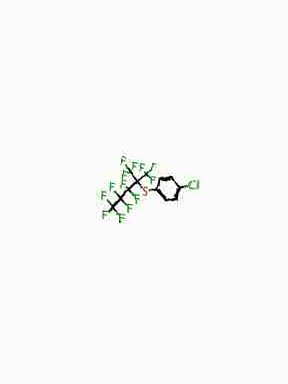 FC(F)(F)C(F)(F)C(F)(F)C(Sc1ccc(Cl)cc1)(C(F)(F)F)C(F)(F)F